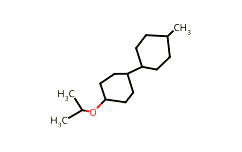 CC1CCC(C2CCC(OC(C)C)CC2)CC1